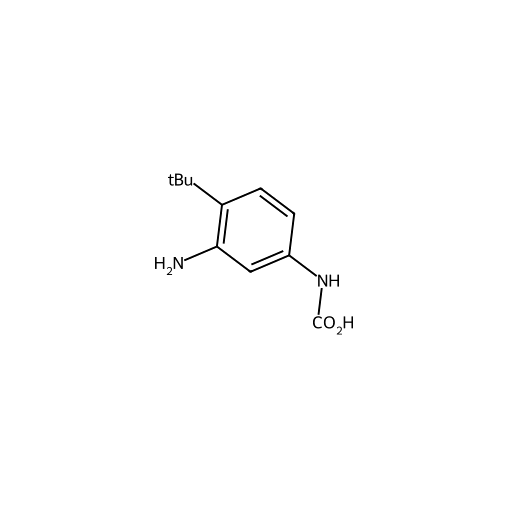 CC(C)(C)c1ccc(NC(=O)O)cc1N